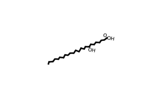 CCCCCCCCCCCCCCCCC(O)CCCCCCC(=O)O